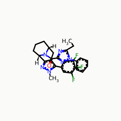 CCc1nc(C(=O)N2[C@@H]3CCC[C@H]2c2nn(C)c(-c4cc(F)c(F)c(F)c4)c2C3)nn1-c1ccccc1